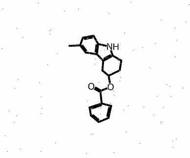 Cc1ccc2[nH]c3c(c2c1)CC(OC(=O)c1ccccc1)CC3